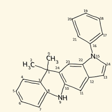 CC1(C)c2ccccc2Nc2cc3ccn(-c4ccccc4)c3cc21